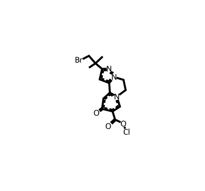 CC(C)(CBr)c1cc2n(n1)CCn1cc(C(=O)OCl)c(=O)cc1-2